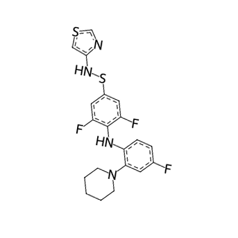 Fc1ccc(Nc2c(F)cc(SNc3cscn3)cc2F)c(N2CCCCC2)c1